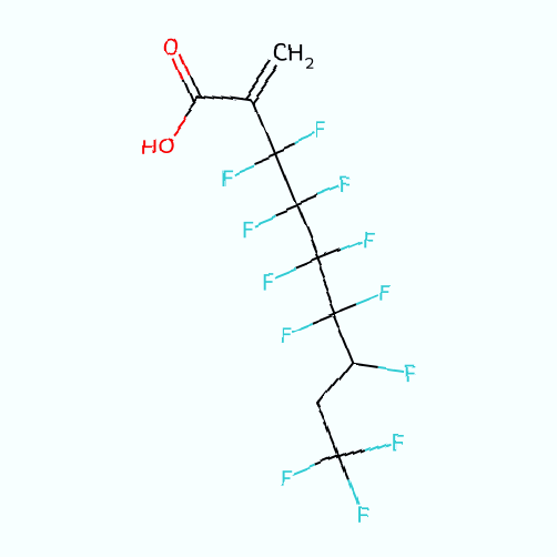 C=C(C(=O)O)C(F)(F)C(F)(F)C(F)(F)C(F)(F)C(F)CC(F)(F)F